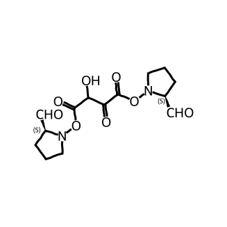 O=C[C@@H]1CCCN1OC(=O)C(=O)C(O)C(=O)ON1CCC[C@H]1C=O